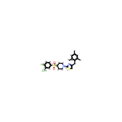 Cc1cc(C)c(Cc2csc(N3CCC(S(=O)(=O)c4ccc(F)c(Cl)c4)CC3)n2)c(C)c1